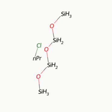 CCCCl.[SiH3]O[SiH2]O[SiH2]O[SiH3]